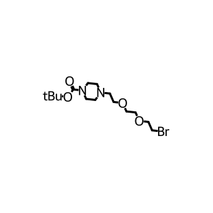 CC(C)(C)OC(=O)N1CCN(CCOCCOCCBr)CC1